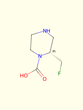 O=C(O)N1CCNC[C@@H]1CF